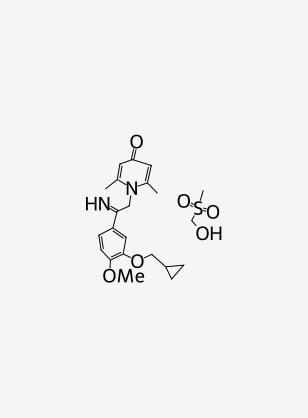 COc1ccc(C(=N)Cn2c(C)cc(=O)cc2C)cc1OCC1CC1.CS(=O)(=O)CO